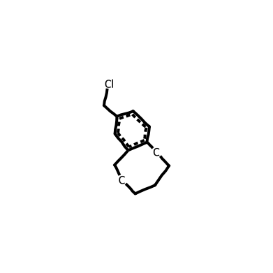 ClCc1ccc2c(c1)CCCCCC2